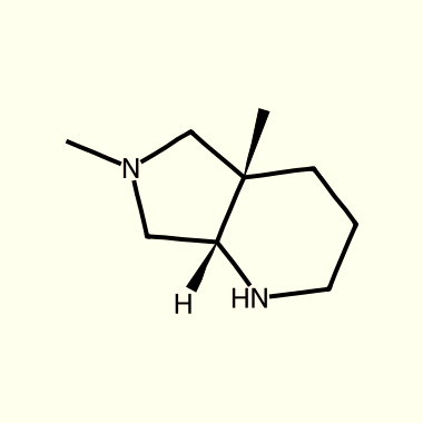 CN1C[C@H]2NCCC[C@@]2(C)C1